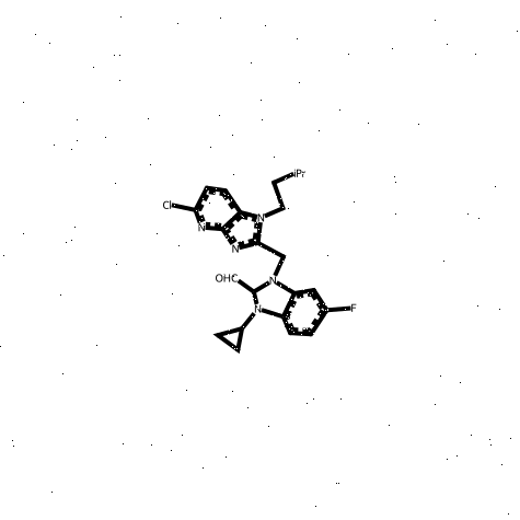 CC(C)CCn1c(CN2c3cc(F)ccc3N(C3CC3)C2C=O)nc2nc(Cl)ccc21